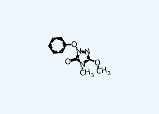 COc1nn(Oc2ccccc2)c(=O)n1C